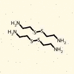 NCCSSCCN.NCCSSCCN